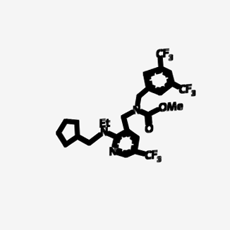 CCN(CC1CCCC1)c1ncc(C(F)(F)F)cc1CN(Cc1cc(C(F)(F)F)cc(C(F)(F)F)c1)C(=O)OC